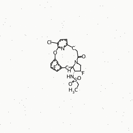 CCS(=O)(=O)N[C@H]1[C@@H](F)CN2C(=O)CCc3ccc(Cl)c(n3)Oc3cccc(c3F)C[C@@H]12